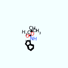 CC(C)(C)OC(=O)N[C@H]1[C]Cc2ccccc21